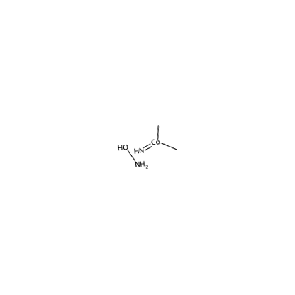 NO.[CH3][Co]([CH3])=[NH]